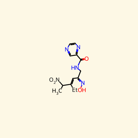 CC/C(=C\C(CNC(=O)c1cnccn1)=N/O)C(C)[N+](=O)[O-]